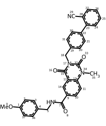 COc1ccc(CNC(=O)c2ccc3c(c2)c(=O)n(Cc2ccc(-c4ccccc4C#N)cc2)c(=O)n3C)cc1